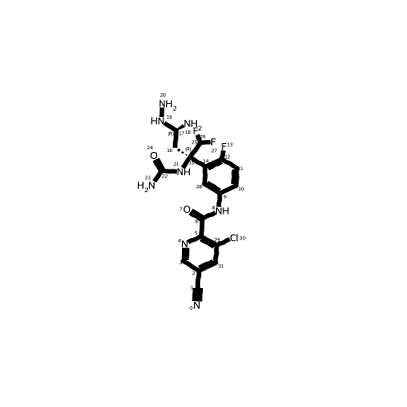 N#Cc1cnc(C(=O)Nc2ccc(F)c([C@@](C[C@H](N)NN)(NC(N)=O)C(F)F)c2)c(Cl)c1